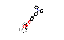 C=CC(=O)OC(=C)COc1ccc(-c2ccc(N(c3ccccc3)c3ccccc3)cc2)cc1